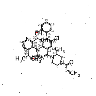 C=CC(=O)N1CCN(/C(=N/C)c2cc(Cl)c(-c3ccccc3F)nc2N(C=O)c2c(C(C)C)ncnc2C(C)C)C(C)C1